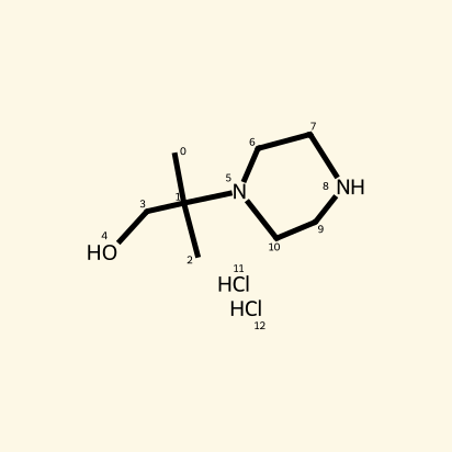 CC(C)(CO)N1CCNCC1.Cl.Cl